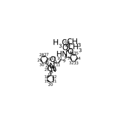 CC(C)(C)OC(=O)N[C@@H](C/C=C/C(=O)n1nc(-c2ccccc2)cc1-c1ccccc1)c1ccccc1